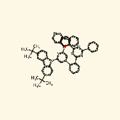 CC(C)(C)c1ccc2c(c1)c1cc(C(C)(C)C)ccc1n2-c1cc(-c2ccccc2-c2nc(-c3ccccc3)nc(-c3ccccc3)n2)cc(-n2c3ccccc3c3cnccc32)n1